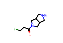 O=C(CCF)N1CC2CNCC2C1